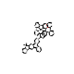 CC1(C)c2ccccc2-c2cc3c4ccccc4c4cc(-c5ccc(N(c6ccccc6-c6ccccc6)c6cccc7c6C6(c8ccccc8-c8ccccc86)c6ccccc6-7)cc5)ccc4c3cc21